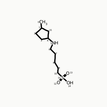 CC1CCC(NCCCCCS(=O)(=O)O)C1